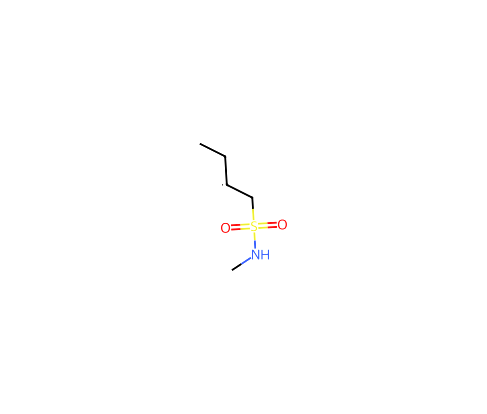 CC[CH]CS(=O)(=O)NC